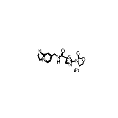 CC(C)[C@H]1COC(=O)N1c1ncc(C(=O)NCc2ccn3ccnc3c2)s1